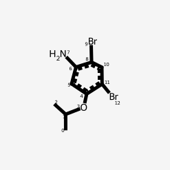 CC(C)Oc1cc(N)c(Br)cc1Br